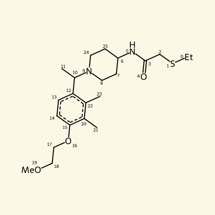 CCSCC(=O)NC1CCN(C(C)c2ccc(OCCOC)c(C)c2C)CC1